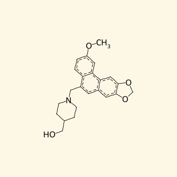 COc1ccc2c(CN3CCC(CO)CC3)cc3cc4c(cc3c2c1)OCO4